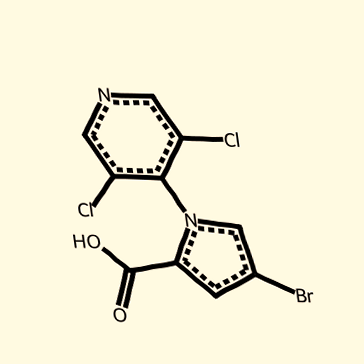 O=C(O)c1cc(Br)cn1-c1c(Cl)cncc1Cl